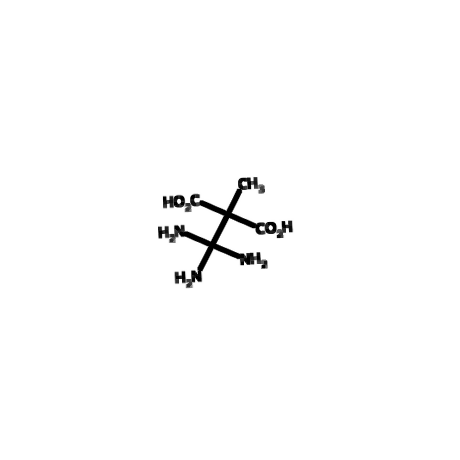 CC(C(=O)O)(C(=O)O)C(N)(N)N